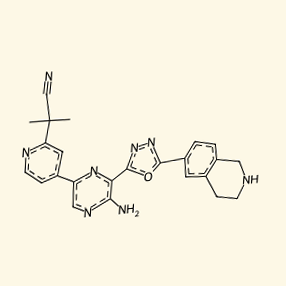 CC(C)(C#N)c1cc(-c2cnc(N)c(-c3nnc(-c4ccc5c(c4)CCNC5)o3)n2)ccn1